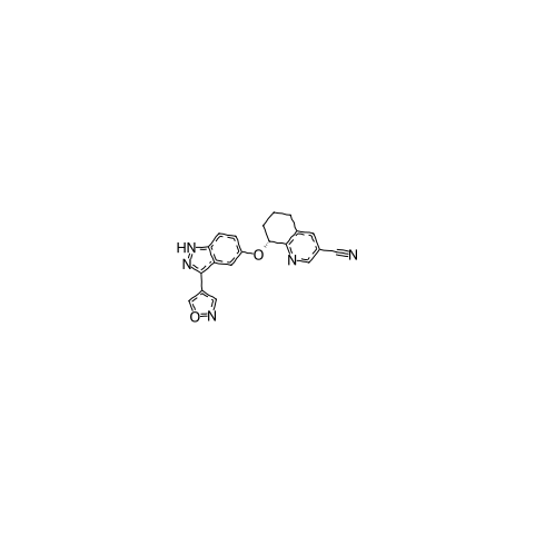 N#Cc1cnc2c(c1)CCC[C@H]2Oc1ccc2[nH]nc(-c3cnoc3)c2c1